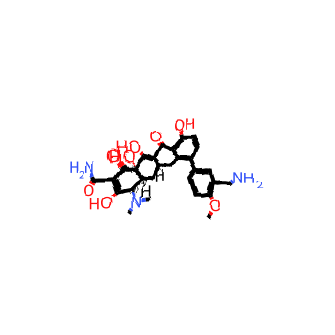 COc1ccc(-c2ccc(O)c3c2C[C@H]2C[C@H]4[C@@H](N(C)C)C(O)=C(C(N)=O)C(=O)[C@@]4(O)C(O)=C2C3=O)cc1CN